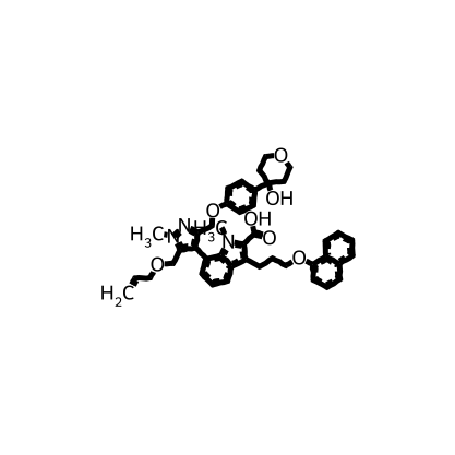 C=CCOCc1c(-c2cccc3c(CCCOc4cccc5ccccc45)c(C(=O)O)n(C)c23)c(COc2ccc(C3(O)CCOCC3)cc2)nn1C